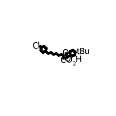 CC(C)(C)c1ccc(S(=O)(=O)C(CCCCCCc2ccc(Cl)cc2)C(=O)O)cc1